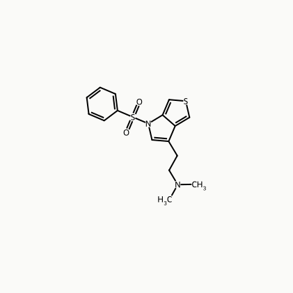 CN(C)CCc1cn(S(=O)(=O)c2ccccc2)c2cscc12